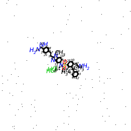 CCc1c(S(=O)(=O)N(CC)c2ccc3c(c2)nc(CCc2ccc(C(=N)N)cc2)n3C)ccc(CCN)c1C(C)(C)c1ccccc1.Cl.Cl